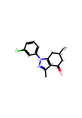 Cc1nn(-c2cccc(Cl)c2)c2c1C(=O)CC(C(C)C)C2